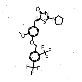 COc1cc(/C=C2\SC(N3CCCC3)=NC2=O)ccc1OCc1ccc(C(F)(F)F)cc1C(F)(F)F